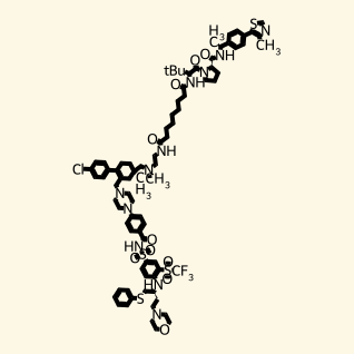 Cc1ncsc1-c1ccc([C@H](C)NC(=O)[C@@H]2CCCN2C(=O)C(NC(=O)CCCCCCCC(=O)NCCN(C)CC2(C)CCC(c3ccc(Cl)cc3)=C(CN3CCN(c4ccc(C(=O)NS(=O)(=O)c5ccc(N[C@H](CCN6CCOCC6)CSc6ccccc6)c(S(=O)(=O)C(F)(F)F)c5)cc4)CC3)C2)C(C)(C)C)cc1